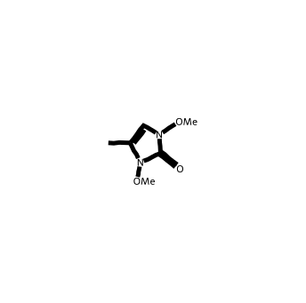 COn1cc(C)n(OC)c1=O